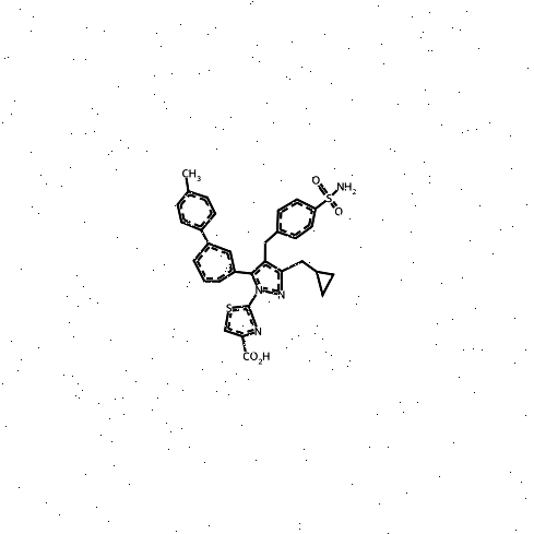 Cc1ccc(-c2cccc(-c3c(Cc4ccc(S(N)(=O)=O)cc4)c(CC4CC4)nn3-c3nc(C(=O)O)cs3)c2)cc1